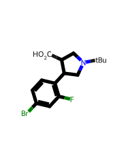 CC(C)(C)N1CC(C(=O)O)C(c2ccc(Br)cc2F)C1